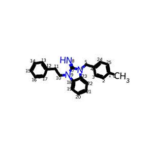 Cc1ccc(Cn2c(=N)n(CCc3ccccc3)c3ccccc32)cc1